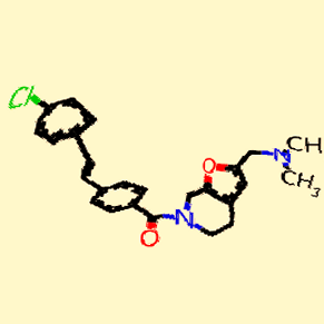 CN(C)Cc1cc2c(o1)CN(C(=O)c1ccc(C=Cc3ccc(Cl)cc3)cc1)CC2